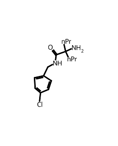 CCCC(N)(CCC)C(=O)NCc1ccc(Cl)cc1